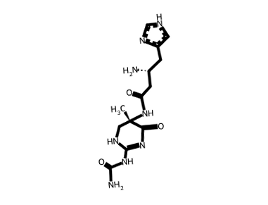 C[C@]1(NC(=O)C[C@H](N)Cc2c[nH]cn2)CNC(NC(N)=O)=NC1=O